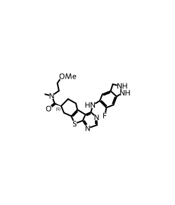 COCCN(C)C(=O)[C@H]1CCc2c(sc3ncnc(Nc4cc5c(cc4F)NNC5)c23)C1